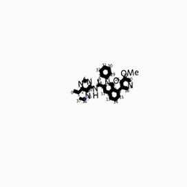 C=Cc1ncnc(N[C@@H](C)c2cc3cccc(-c4cncc(OC)c4)c3c(=O)n2-c2ccccc2)c1/N=C\C